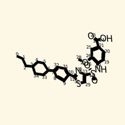 CCCC1CCC(c2ccc(-c3nc(S(=O)(=O)Nc4ccc(C(=O)O)cc4OC)cs3)cc2)CC1